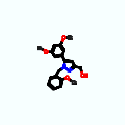 CCOc1cc(OCC)cc(-c2cc(CO)nn2Cc2ccccc2OCC)c1